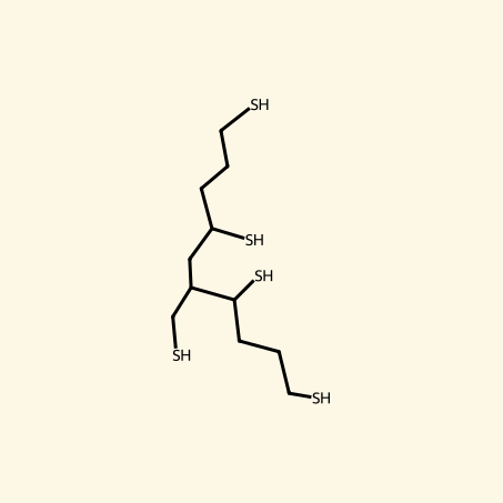 SCCCC(S)CC(CS)C(S)CCCS